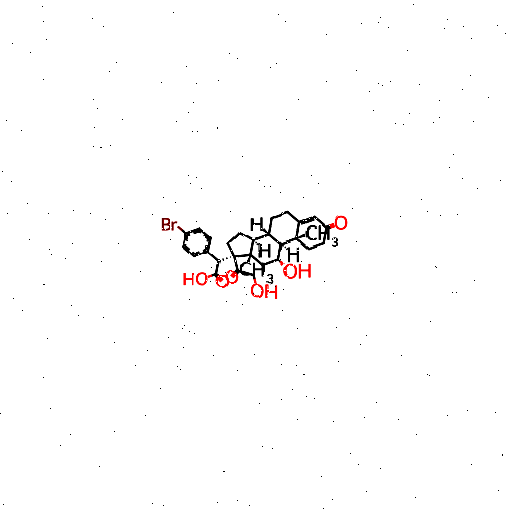 C[C@]12CCC(=O)C=C1CC[C@@H]1[C@@H]2[C@@H](O)C[C@@]2(C)[C@H]1CC[C@@]2(C(=O)CO)C(C(=O)O)c1ccc(Br)cc1